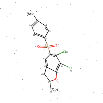 COc1ccc(S(=O)(=O)c2cc3c(c(Cl)c2Cl)OC(C(=O)O)C3)cc1